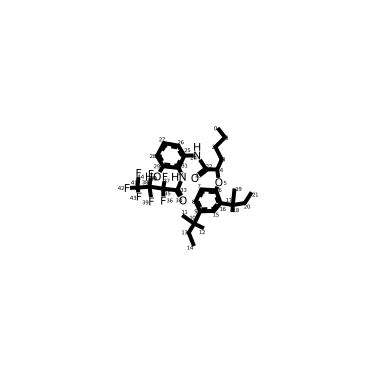 CCCCC(Oc1ccc(C(C)(C)CC)cc1C(C)(C)CC)C(=O)Nc1cccc(O)c1NC(=O)C(F)(F)C(F)(F)C(F)(F)F